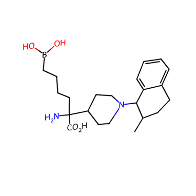 CC1CCc2ccccc2C1N1CCC(C(N)(CCCCB(O)O)C(=O)O)CC1